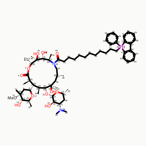 CC[C@H]1OC(=O)[C@H](C)[C@@H](C2C[C@@](C)(OC)[C@@H](O)[C@H](C)O2)[C@H](C)[C@@H](O[C@@H]2O[C@H](C)C[C@H](N(C)C)[C@H]2O)[C@](C)(O)C[C@@H](C)CN(C(=O)CCCCCCCCCCC[PH]2(c3ccccc3)c3ccccc3-c3ccccc32)[C@H](C)[C@@H](O)[C@]1(C)O